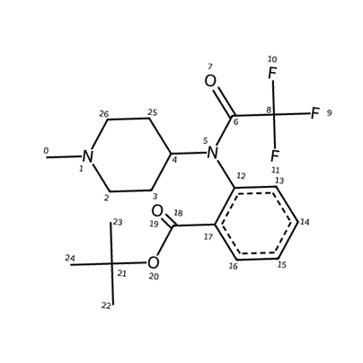 CN1CCC(N(C(=O)C(F)(F)F)c2ccccc2C(=O)OC(C)(C)C)CC1